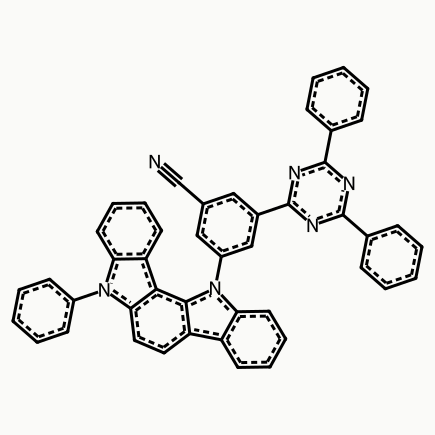 N#Cc1cc(-c2nc(-c3ccccc3)nc(-c3ccccc3)n2)cc(-n2c3ccccc3c3ccc4c(c5ccccc5n4-c4ccccc4)c32)c1